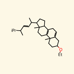 CCOC1CCC2(C)C(=CCC3=C2CCC2(C)C3CCC2C(C)/C=C/C(C)C(C)C)C1